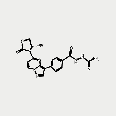 CC(C)[C@H]1COC(=O)N1c1ccn2ncc(-c3ccc(C(=O)NNC(N)=S)cc3)c2n1